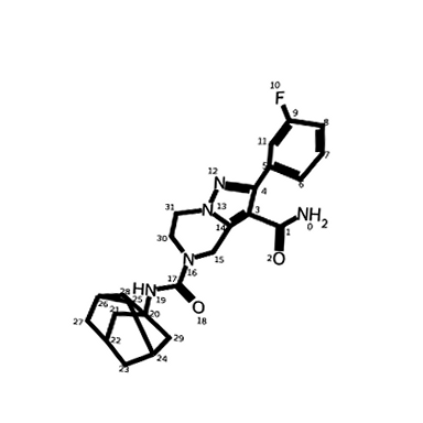 NC(=O)c1c(-c2cccc(F)c2)nn2c1CN(C(=O)NC13CC4CC(CC(C4)C1)C3)CC2